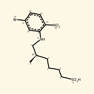 C[C@H](CCCCS(=O)(=O)O)CNc1cc(Br)ccc1[N+](=O)[O-]